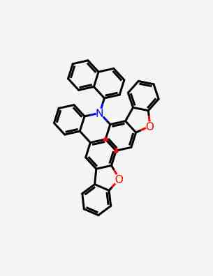 c1ccc(N(c2cccc3ccccc23)c2cccc3oc4ccccc4c23)c(-c2ccc3oc4ccccc4c3c2)c1